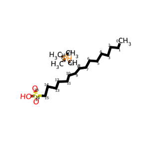 CCCCCCCCCCCCCCCCS(=O)(=O)O.C[PH](C)(C)C